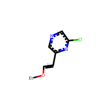 CCO/C=C/c1cncc(Cl)n1